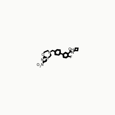 O=C(NC1CCC1)c1cc(-c2ccc(CN3CCOc4nc([N+](=O)[O-])cn4CC3)cc2)ccc1F